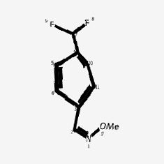 CO/N=[C]\c1ccc(C(F)F)cc1